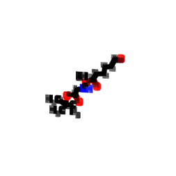 CC(C)(C)OC(=O)CNOC(=O)CCCCC=O.[KH]